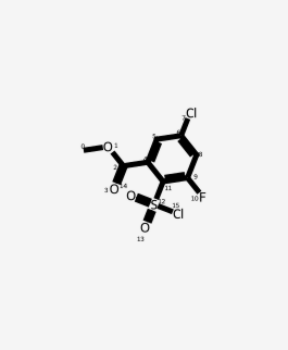 COC(=O)c1cc(Cl)cc(F)c1S(=O)(=O)Cl